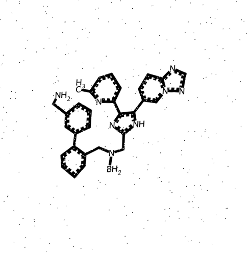 BN(Cc1nc(-c2cccc(C)n2)c(-c2ccc3ncnn3c2)[nH]1)Cc1ccccc1-c1cccc(CN)c1